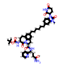 Cn1c(=O)n(C2CCC(=O)NC2=O)c2ccc(CCCCCCc3cc4c5c(c3)C[C@@H](C(=O)N[C@@H](CCC(N)=O)c3ccccn3)N5C(=O)[C@@H](NC(=O)OC(C)(C)C)CC4)cc21